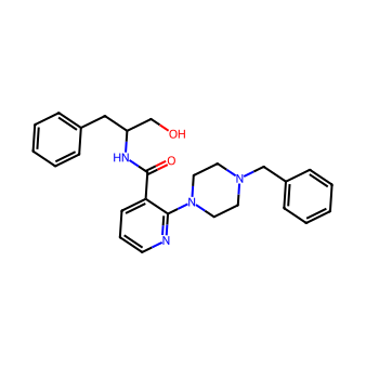 O=C(NC(CO)Cc1ccccc1)c1cccnc1N1CCN(Cc2ccccc2)CC1